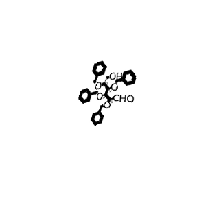 O=C[C@@H](OCc1ccccc1)[C@@H](OCc1ccccc1)[C@H](OCc1ccccc1)[C@@H](CO)OCc1ccccc1